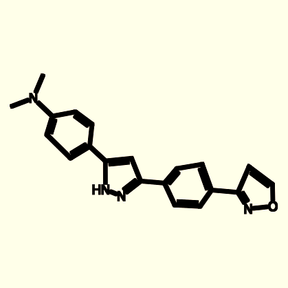 CN(C)c1ccc(-c2cc(-c3ccc(-c4ccon4)cc3)n[nH]2)cc1